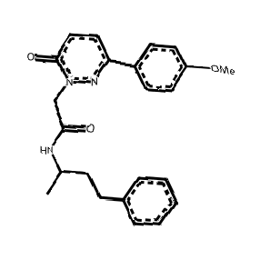 COc1ccc(-c2ccc(=O)n(CC(=O)NC(C)CCc3ccccc3)n2)cc1